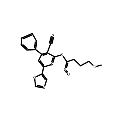 COCCCC(Sc1nc(-c2cnco2)cc(-c2ccccc2)c1C#N)=S=O